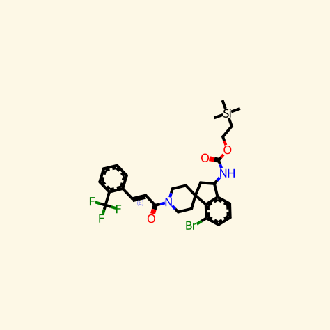 C[Si](C)(C)CCOC(=O)NC1CC2(CCN(C(=O)/C=C/c3ccccc3C(F)(F)F)CC2)c2c(Br)cccc21